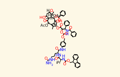 CC(=O)O[C@H]1C(=O)[C@@]2(C)[C@H]([C@H](OC(=O)c3ccccc3)[C@]3(O)C[C@H](OC(=O)[C@H](OC(=O)OCc4ccc(NC(=O)C(CCCNC(N)=O)NC(=O)C(NC(=O)OCC5c6ccccc6-c6ccccc65)C(C)C)cc4)[C@@H](NC(=O)c4ccccc4)c4ccccc4)C(C)=C1C3(C)C)[C@]1(OC(C)=O)CO[C@@H]1C[C@@H]2O